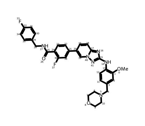 COc1cc(CN2CCOCC2)ccc1Nc1nc2ccc(-c3ccc(C(=O)NCc4ccc(F)cc4)c(F)c3)cn2n1